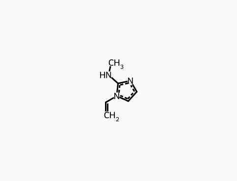 C=Cn1ccnc1NC